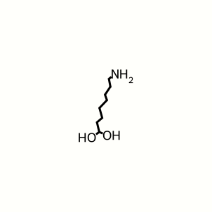 NCCCCCCCC(O)O